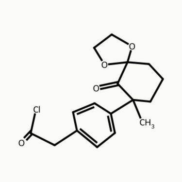 CC1(c2ccc(CC(=O)Cl)cc2)CCCC2(OCCO2)C1=O